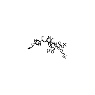 C#CCOc1cnc(/C(F)=C/c2cnc(F)c([C@@]3(C)N=C(N(COCC[Si](C)(C)C)C(=O)OC(C)(C)C)S[C@@]4(C(=O)OC)C[C@H]43)c2)cn1